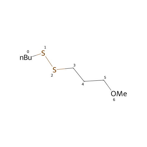 CCCCSSCCCOC